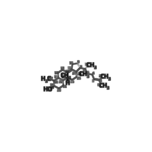 CC(C)=CCC[C@@H](C)[C@H]1CCC2=C3CCC4C(C)C(O)CC[C@]4(C)[C@H]3CC[C@@]21C